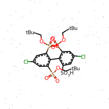 CC(C)(C)COS(=O)(=O)c1cc(Cl)cc(S(=O)(=O)O)c1-c1c(S(=O)(=O)OCC(C)(C)C)cc(Cl)cc1S(=O)(=O)OCC(C)(C)C